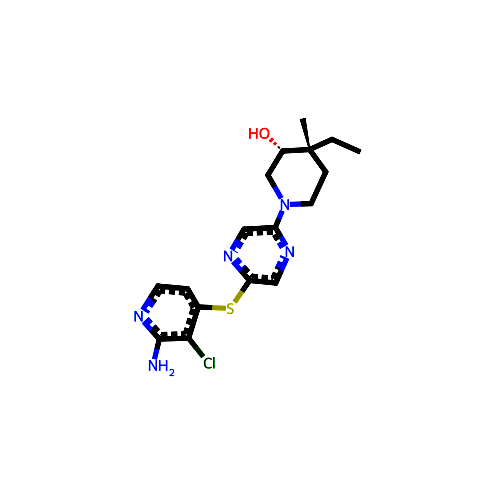 CC[C@]1(C)CCN(c2cnc(Sc3ccnc(N)c3Cl)cn2)C[C@@H]1O